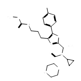 COC(=O)NCCCc1nc([C@H](C)N(C(=O)[C@H]2CNCCO2)C2CC2)sc1-c1ccc(F)cc1